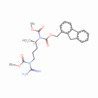 CC(C)(C)OC(=O)N(CCC[C@@H](C(=O)O)N(C(=O)OCc1cccc2c1Cc1ccccc1-2)C(=O)OC(C)(C)C)C(=N)N